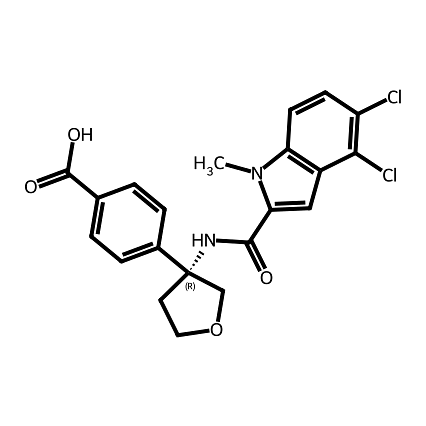 Cn1c(C(=O)N[C@@]2(c3ccc(C(=O)O)cc3)CCOC2)cc2c(Cl)c(Cl)ccc21